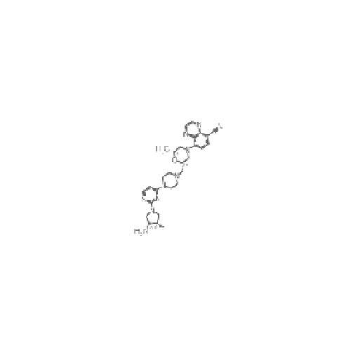 C[C@@H]1CN(c2ccc(C#N)c3nccnc23)C[C@H](CN2CCN(c3ccnc(N4C[C@@H](F)[C@@H](N)C4)n3)CC2)O1